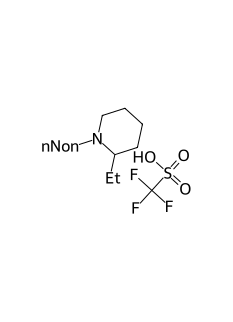 CCCCCCCCCN1CCCCC1CC.O=S(=O)(O)C(F)(F)F